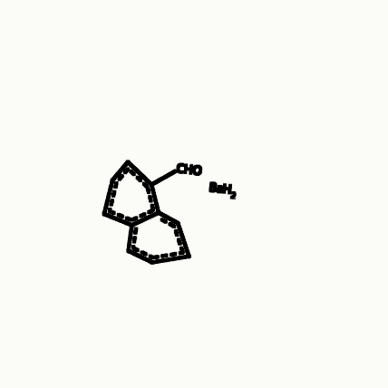 O=Cc1cccc2ccccc12.[BaH2]